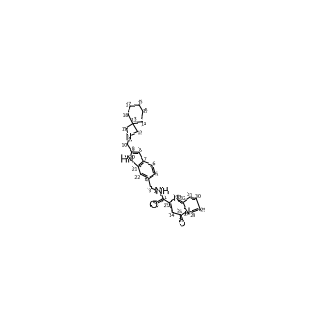 O=C(NCc1ccc2cc(CN3CC4(CCCCC4)C3)[nH]c2c1)c1cc(=O)n2ccccc2n1